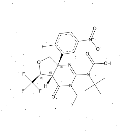 CCN1C(=O)[C@@H]2[C@@H](C(F)(F)F)OC[C@]2(c2cc([N+](=O)[O-])ccc2F)N=C1N(C(=O)O)C(C)(C)C